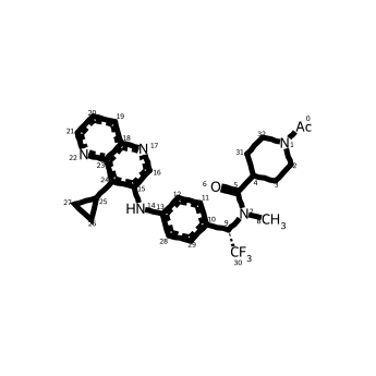 CC(=O)N1CCC(C(=O)N(C)[C@@H](c2ccc(Nc3cnc4cccnc4c3C3CC3)cc2)C(F)(F)F)CC1